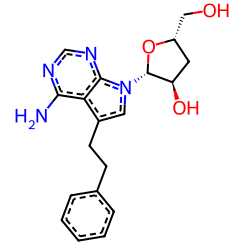 Nc1ncnc2c1c(CCc1ccccc1)cn2[C@@H]1O[C@H](CO)C[C@H]1O